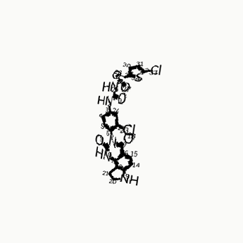 O=C(Nc1ccc(-n2c(=O)[nH]c3c4c(ccc3c2=O)NCC4)c(Cl)c1)NS(=O)(=O)c1ccc(Cl)s1